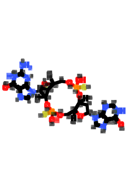 Nc1nc2c(ncn2[C@@H]2O[C@@H]3COP(O)(=S)O[C@@H]4C[C@H](n5cnc6c(=O)[nH]cnc65)O[C@@H]4COP(O)(=S)O[C@H]2[C@@H]3F)c(=O)[nH]1